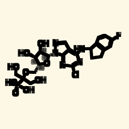 O=P(O)(O)C(CO)(CO)OC[C@H]1O[C@@H](n2ncc3c(NC4CCc5cc(F)ccc54)nc(Cl)nc32)[C@H](O)[C@@H]1O